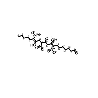 CCCCCC(C(O)CC(C(O)CC(O)C(CCCCCC[C]=O)[N+](=O)[O-])[N+](=O)[O-])[N+](=O)[O-]